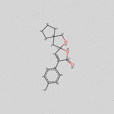 Cc1ccc(C2=CC3(CC4(CCCC4)CO3)OC2=O)cc1